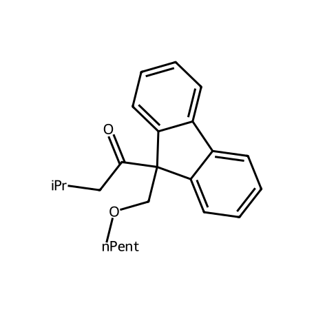 CCCCCOCC1(C(=O)CC(C)C)c2ccccc2-c2ccccc21